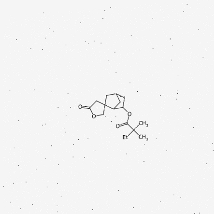 CCC(C)(C)C(=O)OC1CC2CC1C1(COC(=O)C1)C2